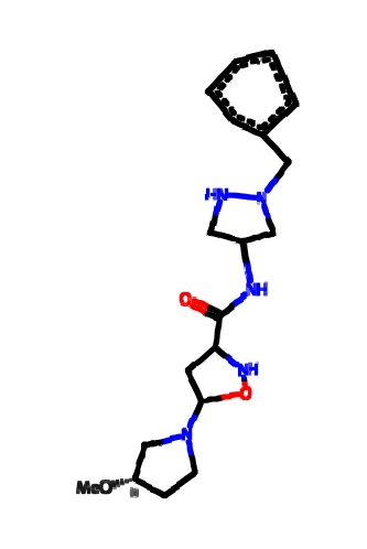 CO[C@H]1CCN(C2CC(C(=O)NC3CNN(Cc4ccccc4)C3)NO2)C1